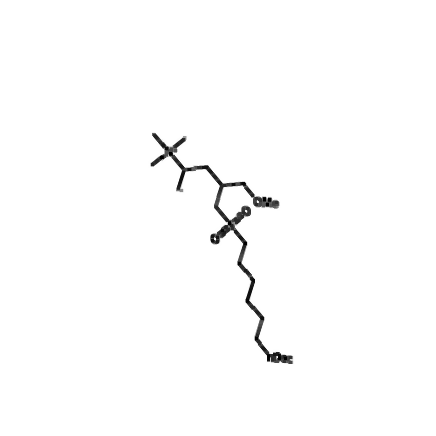 [CH2]C(CC(COC)CS(=O)(=O)CCCCCCCCCCCCCCCC)[N+](C)(C)C